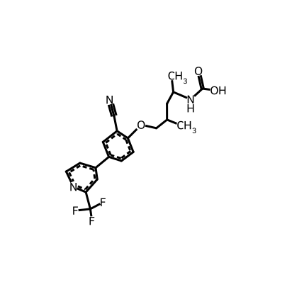 CC(COc1ccc(-c2ccnc(C(F)(F)F)c2)cc1C#N)CC(C)NC(=O)O